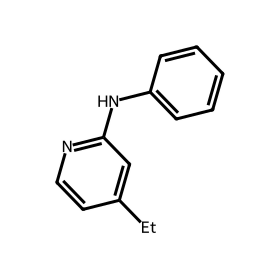 CCc1ccnc(Nc2ccccc2)c1